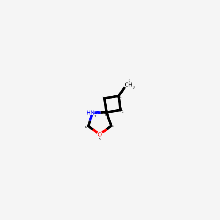 CC1CC2(COCN2)C1